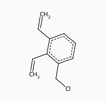 C=Cc1cccc(CCl)c1C=C